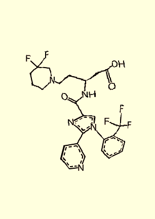 O=C(O)C[C@H](CCN1CCCC(F)(F)C1)NC(=O)c1cn(-c2ccccc2C(F)(F)F)c(-c2cccnc2)n1